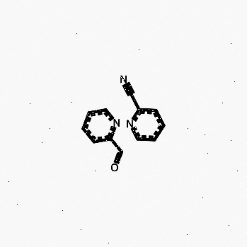 N#Cc1ccccn1.O=Cc1ccccn1